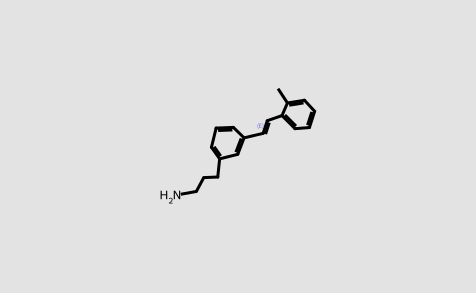 Cc1ccccc1/C=C/c1cccc(CCCN)c1